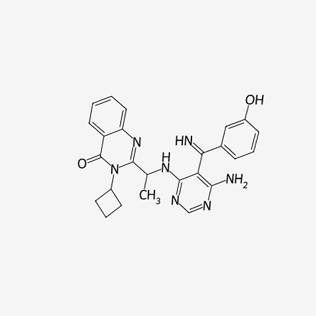 CC(Nc1ncnc(N)c1C(=N)c1cccc(O)c1)c1nc2ccccc2c(=O)n1C1CCC1